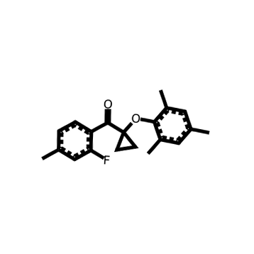 Cc1cc(C)c(OC2(C(=O)c3ccc(C)cc3F)CC2)c(C)c1